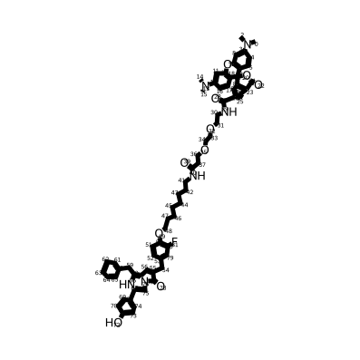 CN(C)c1ccc2c(c1)Oc1cc(N(C)C)ccc1C21OC(=O)c2ccc(C(=O)NCCOCCOCCC(=O)NCCCCCCCCOc3ccc(Cc4cc5c(Cc6ccccc6)[nH]c(-c6ccc(O)cc6)cn-5c4=O)cc3F)cc21